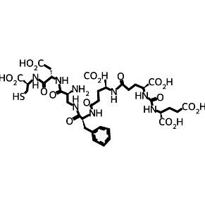 N[C@@H](CNC(=O)[C@H](Cc1ccccc1)NC(=O)CC[C@H](NC(=O)CC[C@H](NC(=O)N[C@@H](CCC(=O)O)C(=O)O)C(=O)O)C(=O)O)C(=O)N[C@@H](CC(=O)O)C(=O)N[C@@H](CS)C(=O)O